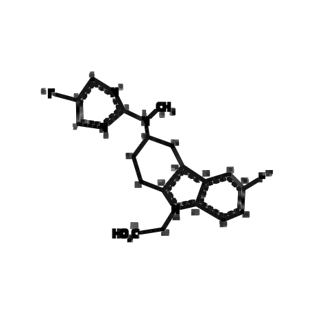 CN(c1ncc(F)cn1)C1CCc2c(c3cc(F)ccc3n2CC(=O)O)C1